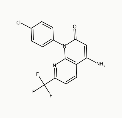 Nc1cc(=O)n(-c2ccc(Cl)cc2)c2nc(C(F)(F)F)ccc12